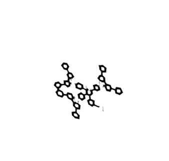 N#Cc1cccc(-c2cc(-c3ccc(-n4c5ccc(-c6ccccc6)cc5c5cc(-c6ccccc6)ccc54)cc3)nc(-c3ccc(-n4c5ccc(-c6ccccc6)cc5c5cc(-c6ccccc6)ccc54)cc3)c2-c2ccc(-n3c4ccc(-c5ccccc5)cc4c4cc(-c5ccccc5)ccc43)cc2)c1